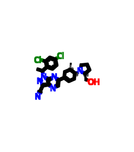 CC(c1ccc(Cl)cc1Cl)n1nc(C#N)c2ncc(C3=CC[C@@H](N4CCC[C@H]4CO)[C@@H](C)C3)nc21